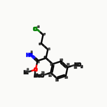 CCOC(=N)C(CCCCl)c1cc([N+](=O)[O-])ccc1OC